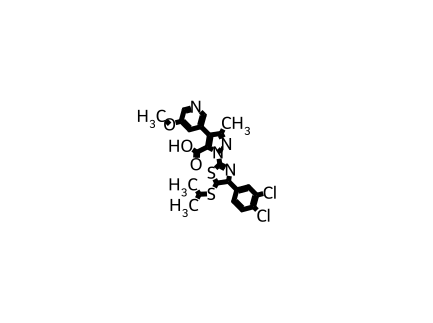 COc1cncc(-c2c(C)nn(C3=NC(c4ccc(Cl)c(Cl)c4)C(SC(C)C)S3)c2C(=O)O)c1